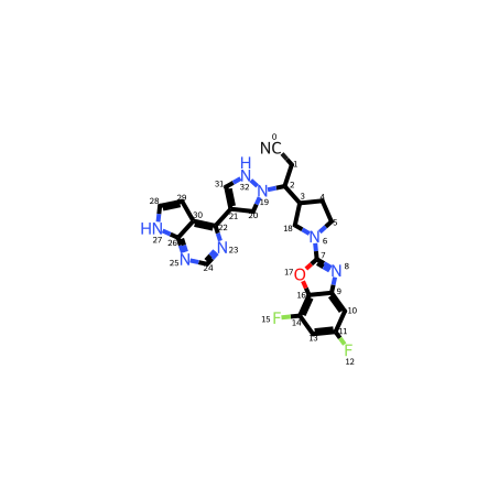 N#CCC(C1CCN(c2nc3cc(F)cc(F)c3o2)C1)N1CC(c2ncnc3[nH]ccc23)=CN1